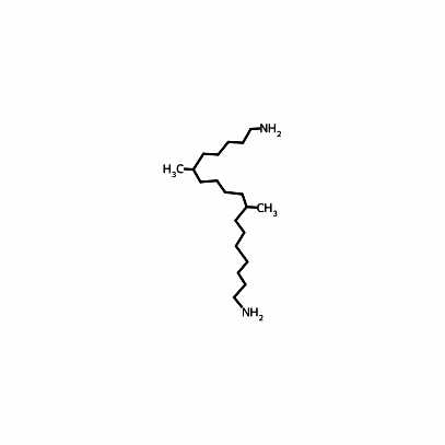 CC(CCCCCN)CCCCC(C)CCCCCCCN